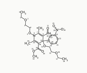 CCOCCON1C(C)=C([PH2]=O)C(OCCOCC)(c2cccc([N+](=O)[O-])c2)C(C(=O)OC)=C1C